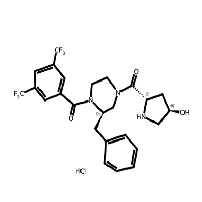 Cl.O=C([C@@H]1C[C@@H](O)CN1)N1CCN(C(=O)c2cc(C(F)(F)F)cc(C(F)(F)F)c2)[C@H](Cc2ccccc2)C1